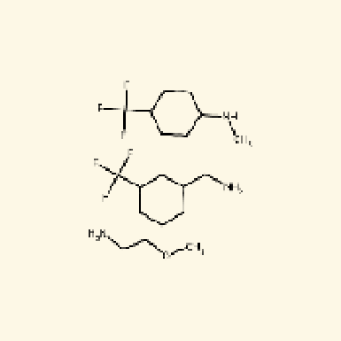 CNC1CCC(C(F)(F)F)CC1.COCCN.NCC1CCCC(C(F)(F)F)C1